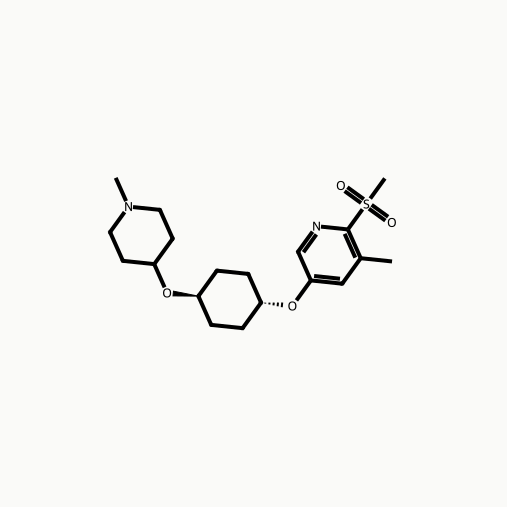 Cc1cc(O[C@H]2CC[C@H](OC3CCN(C)CC3)CC2)cnc1S(C)(=O)=O